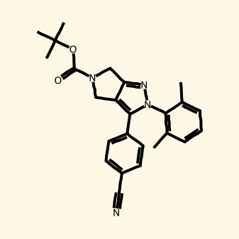 Cc1cccc(C)c1-n1nc2c(c1-c1ccc(C#N)cc1)CN(C(=O)OC(C)(C)C)C2